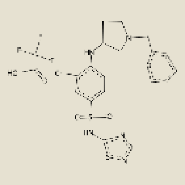 O=C(O)C(F)(F)F.O=S(=O)(Nc1ncns1)c1ccc(NC2CCN(Cc3ccccc3)C2)c(Cl)c1